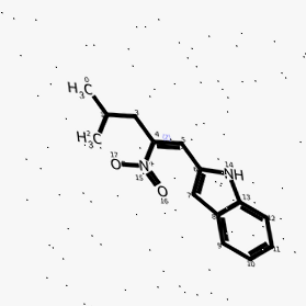 CC(C)C/C(=C/c1cc2ccccc2[nH]1)[N+](=O)[O-]